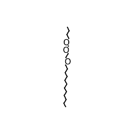 CCCCCCCCCCCCOCCOCOCCCC